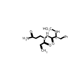 C=CC(=O)N(CCC(N)=O)NC(=O)[C@H](CC(C)C)NC(=O)O